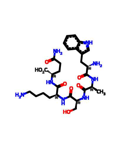 C[C@H](NC(=O)[C@@H](N)Cc1c[nH]c2ccccc12)C(=O)N[C@@H](CO)C(=O)N[C@@H](CCCCN)C(=O)N[C@@H](CCC(N)=O)C(=O)O